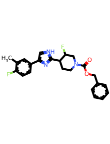 Cc1cc(-c2c[nH]c(C3CCN(C(=O)OCc4ccccc4)CC3F)n2)ccc1F